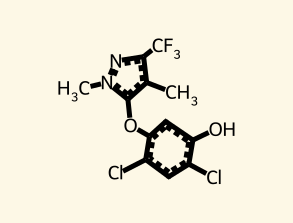 Cc1c(C(F)(F)F)nn(C)c1Oc1cc(O)c(Cl)cc1Cl